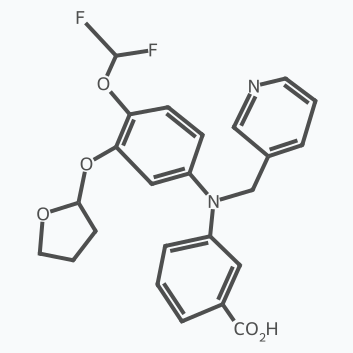 O=C(O)c1cccc(N(Cc2cccnc2)c2ccc(OC(F)F)c(OC3CCCO3)c2)c1